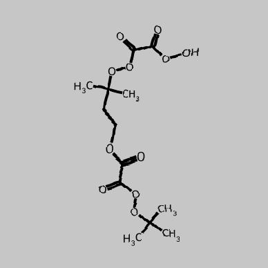 CC(C)(C)OOC(=O)C(=O)OCCC(C)(C)OOC(=O)C(=O)OO